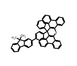 CC1(C)c2ccccc2-c2ccc(-c3ccc(C4(c5ccccc5)c5c(c6ccccc6c6ccccc56)Sc5c4c4ccccc4c4ccccc54)cc3)cc21